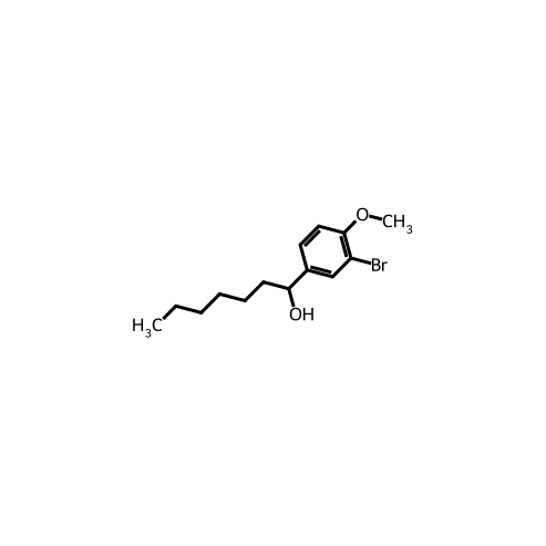 CCCCCCC(O)c1ccc(OC)c(Br)c1